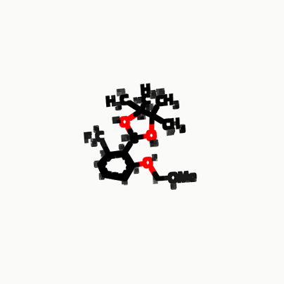 COCOc1cccc(C(F)(F)F)c1B1OC(C)(C)C(C)(C)O1